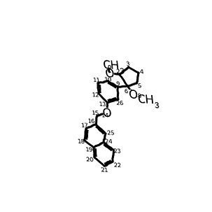 COC1CCCC1(OC)c1cccc(OCc2ccc3ccccc3c2)c1